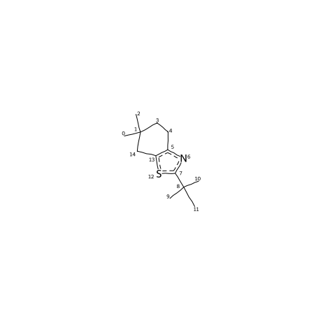 CC1(C)CCc2nc(C(C)(C)C)sc2C1